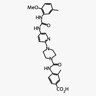 COc1ccc(C)cc1NC(=O)Nc1ccc(N2CCN(C(=O)Nc3ccc(C(=O)O)cc3C)CC2)nc1